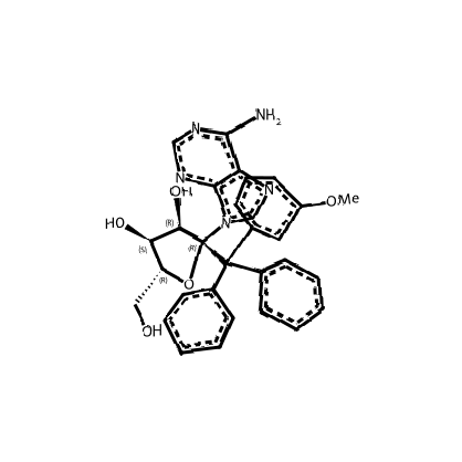 COc1cccc(C(c2ccccc2)(c2ccccc2)[C@@]2(n3cnc4c(N)ncnc43)O[C@H](CO)[C@@H](O)[C@H]2O)c1